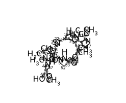 CCn1c(-c2cccnc2[C@H](C)OC)c2c3cc(ccc31)-c1csc(n1)C[C@H](NC(=O)[C@H](C(C)C)N(C)C(=O)N1CC([C@H](CO)OC)C1)C(=O)N1CCC[C@@](O)(N1)C(=O)OCC(C)(C)C2